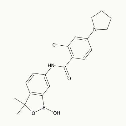 CC1(C)OB(O)c2cc(NC(=O)c3ccc(N4CCCC4)cc3Cl)ccc21